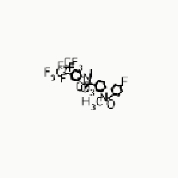 CN(C(=O)c1ccc(F)cc1)c1cccc(C(=O)N(I)c2ccc(C(F)(C(F)(F)F)C(F)(F)C(F)(F)F)cc2C(F)(F)F)c1